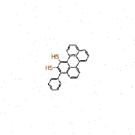 Sc1c(-c2ccccc2)c2cccc3c4cccc5cccc(c(c1S)c23)c54